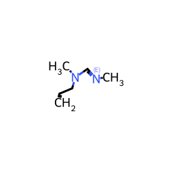 C=CCN(C)/C=N/C